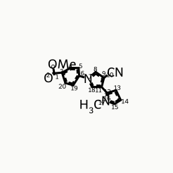 COC(=O)c1ccc(-n2cc(C#N)c(-c3cccn3C)c2)cc1